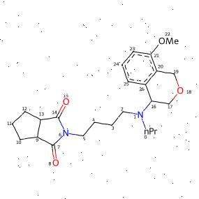 CCCN(CCCCN1C(=O)C2CCCC2C1=O)C1COCc2c(OC)cccc21